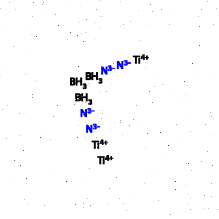 B.B.B.[N-3].[N-3].[N-3].[N-3].[Ti+4].[Ti+4].[Ti+4]